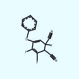 N#CC1C(F)=C(F)C(Oc2ccccc2)=CC1(F)C#N